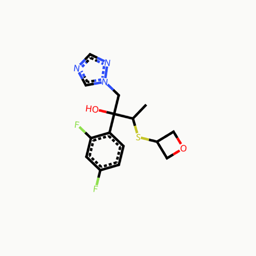 CC(SC1COC1)C(O)(Cn1cncn1)c1ccc(F)cc1F